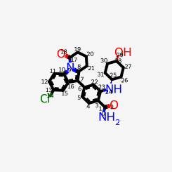 NC(=O)c1ccc(-c2c3n(c4ccc(Cl)cc24)C(=O)CCC3)cc1N[C@H]1CC[C@H](O)CC1